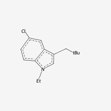 CCn1cc(CC(C)(C)C)c2cc(Cl)ccc21